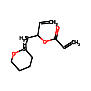 C=CC(=O)OC(C=C)[SiH2][SiH]1CCCCO1